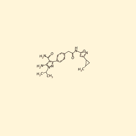 CC1CC1c1cc(NC(=O)Cc2ccc(-c3nn(C(C)C)c(N)c3C(N)=O)cc2)on1